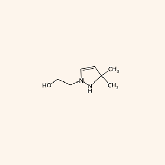 CC1(C)C=CN(CCO)N1